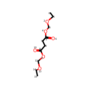 CCOCOC(=O)CCC(=O)OCOCC